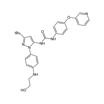 CC(C)(C)c1cc(NC(=O)Nc2ccc(Oc3cccnc3)cc2)n(-c2ccc(NCCO)cc2)n1